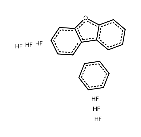 F.F.F.F.F.F.c1ccc2c(c1)oc1ccccc12.c1ccccc1